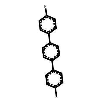 Cc1ccc(-c2ccc(-c3ccc(F)cc3)cc2)cc1